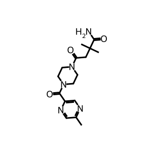 Cc1cnc(C(=O)N2CCN(C(=O)CC(C)(C)C(N)=O)CC2)cn1